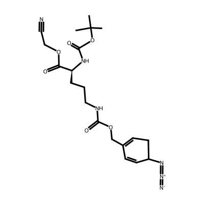 CC(C)(C)OC(=O)N[C@@H](CCCNC(=O)OCC1=CCC(N=[N+]=[N-])C=C1)C(=O)OCC#N